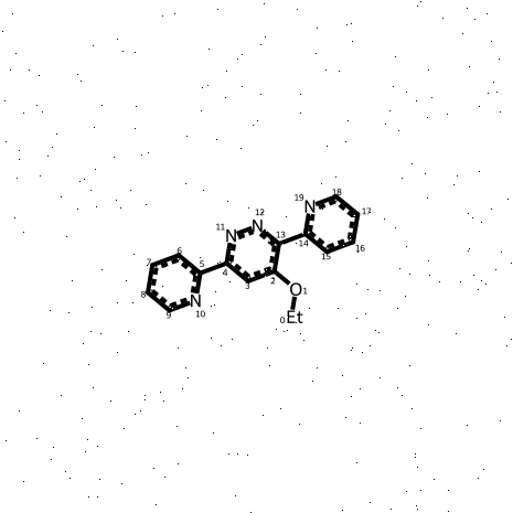 CCOc1cc(-c2ccccn2)nnc1-c1ccccn1